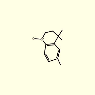 Cc1ccc2c(c1)C(C)(C)CC[S+]2[O-]